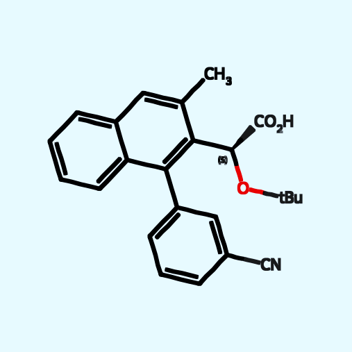 Cc1cc2ccccc2c(-c2cccc(C#N)c2)c1[C@H](OC(C)(C)C)C(=O)O